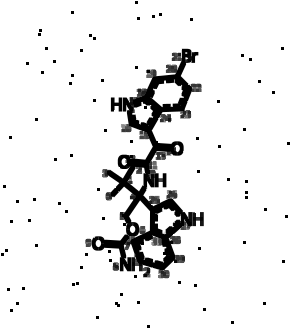 CC(C)(C)C(COC(N)=O)(NC(=O)C(=O)c1c[nH]c2cc(Br)ccc12)c1c[nH]c2ccccc12